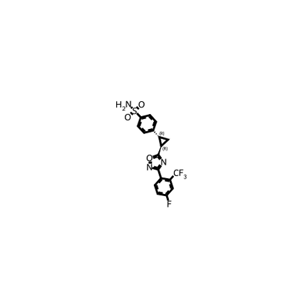 NS(=O)(=O)c1ccc([C@@H]2C[C@H]2c2nc(-c3ccc(F)cc3C(F)(F)F)no2)cc1